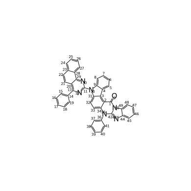 O=c1c2c3c4ccccc4n(-c4nc(-c5ccccc5)c5ccc6ccccc6c5n4)c3ccc2n(-c2ccccc2)c2nc3ccccc3n12